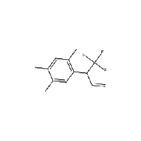 C=CC(c1cc(C)c(C)cc1C)C(F)(F)F